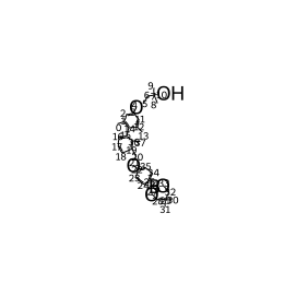 Cc1cc(OCCC(C)(C)O)cc(C)c1-c1cccc(COc2ccc(B3OCC(C)(C)CO3)cc2)c1C